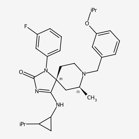 CC(C)Oc1cccc(CN2CC[C@@]3(C[C@@H]2C)C(NC2CC2C(C)C)=NC(=O)N3c2cccc(F)c2)c1